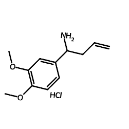 C=CCC(N)c1ccc(OC)c(OC)c1.Cl